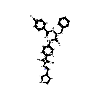 O=C(N[C@@H](Cc1ccccc1)C(=O)Nc1ccc(S(=O)(=O)/N=C/C2CCOC2)nc1)c1ccc(F)cc1